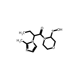 CCC(C(=O)N1CCOCC1SO)n1c[c]nc1C